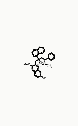 COc1nc2ccc(Br)cc2cc1CC(O)(CC(c1ccccc1)N(C)C)c1cccc2ccccc12